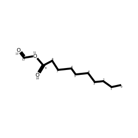 CCCCCCCCCC(=O)OC=O